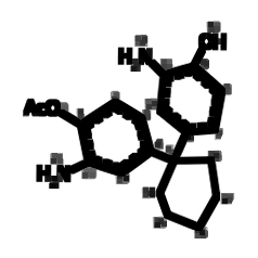 CC(=O)Oc1ccc(C2(c3ccc(O)c(N)c3)CCCCC2)cc1N